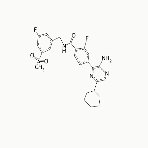 CS(=O)(=O)c1cc(F)cc(CNC(=O)c2ccc(-c3nc(C4CCCCC4)cnc3N)cc2F)c1